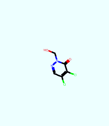 O=c1c(Cl)c(Cl)cnn1CO